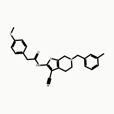 CSc1ccc(CC(=O)Nc2sc3c(c2C#N)CCN(Cc2cccc(C)c2)C3)cc1